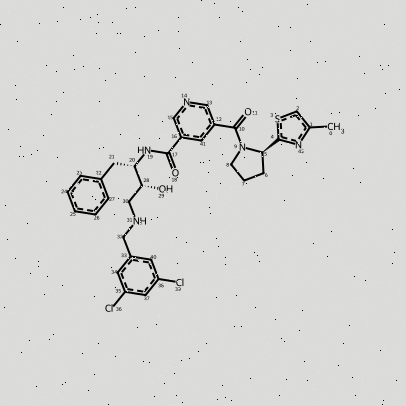 Cc1csc([C@H]2CCCN2C(=O)c2cncc(C(=O)N[C@@H](Cc3ccccc3)[C@H](O)CNCc3cc(Cl)cc(Cl)c3)c2)n1